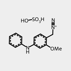 COc1cc(Nc2ccccc2)ccc1C[N+]#N.O=S(=O)(O)O